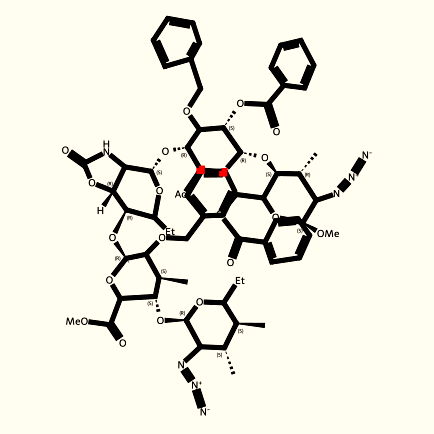 CCC1O[C@H](O[C@@H]2C(C(=O)OC)O[C@@H](O[C@@H]3C(CC)O[C@@H](O[C@H]4C(C(C)=O)O[C@@H](O[C@@H]5C(COC(=O)c6ccccc6)O[C@H](OC)C(N=[N+]=[N-])[C@H]5C)[C@@H](OC(=O)c5ccccc5)C4OCc4ccccc4)C4NC(=O)O[C@H]43)C(OCc3ccccc3)[C@H]2C)C(N=[N+]=[N-])[C@@H](C)[C@@H]1C